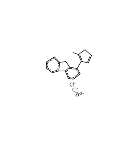 CC1=C(c2cccc3c2Cc2ccccc2-3)C=CC1.[Cl-].[Cl-].[Zr+2]